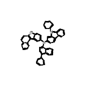 c1ccc(-c2ccc(N(c3ccc4oc5ccc6ccccc6c5c4c3)c3ccc4c5ccccc5n(-c5ccccc5)c4c3)c3ccccc23)cc1